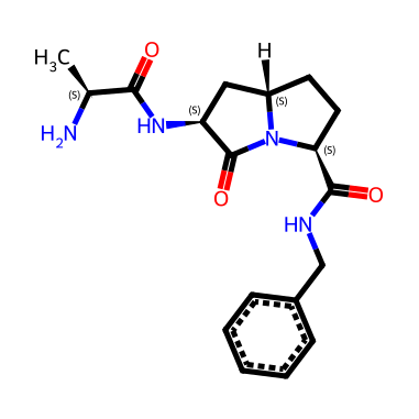 C[C@H](N)C(=O)N[C@H]1C[C@@H]2CC[C@@H](C(=O)NCc3ccccc3)N2C1=O